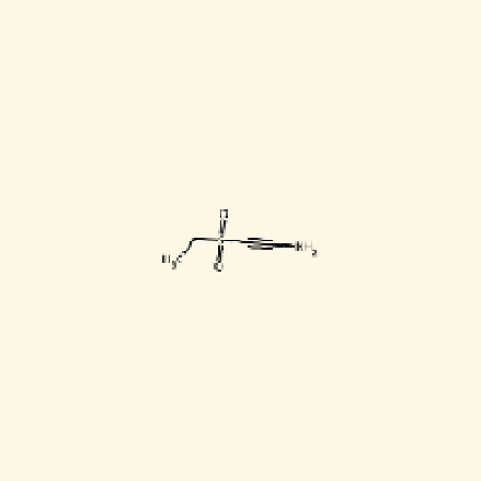 CCS(=O)(=O)C#CN